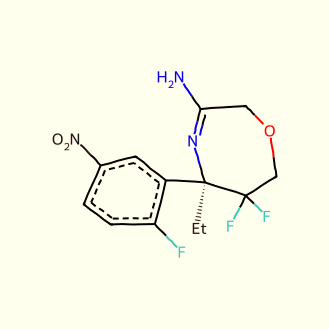 CC[C@]1(c2cc([N+](=O)[O-])ccc2F)N=C(N)COCC1(F)F